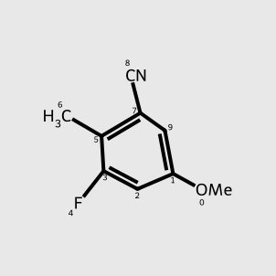 COc1cc(F)c(C)c(C#N)c1